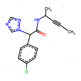 CC#CC(C)NC(=O)C(c1ccc(Cl)cc1)n1cncn1